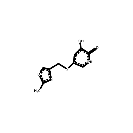 Cc1nc(CSc2c[nH]c(=O)c(O)c2)co1